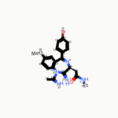 CCNC(=O)C[C@@H]1N=C(c2ccc(Br)cc2)c2cc(OC)ccc2N(C(C)=N)C1=N